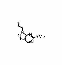 C=CCn1ncc2cnc(SC)nc21